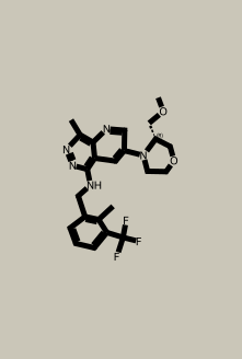 COC[C@@H]1COCCN1c1cnc2c(C)nnc(NCc3cccc(C(F)(F)F)c3C)c2c1